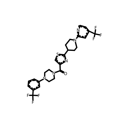 O=C(c1csc(C2CCN(c3cc(C(F)(F)F)ccn3)CC2)n1)N1CCN(c2cccc(C(F)(F)F)c2)CC1